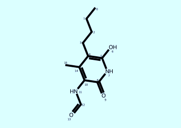 CCCCc1c(O)[nH]c(=O)c(NC=O)c1C